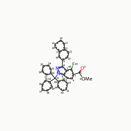 COC(=O)c1ccc2c(c(-c3ccc4ccccc4c3)nn2C(c2ccccc2)(c2ccccc2)c2ccccc2)c1F